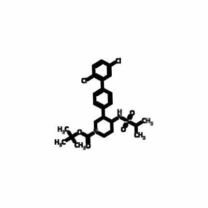 CC(C)S(=O)(=O)NC1CCN(C(=O)OC(C)(C)C)CC1c1ccc(-c2cc(Cl)ccc2Cl)cc1